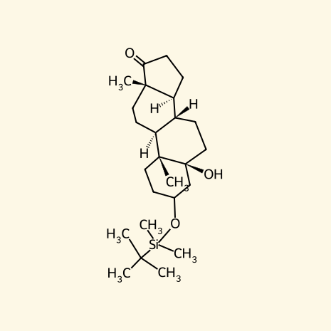 CC(C)(C)[Si](C)(C)OC1CC[C@]2(C)[C@H]3CC[C@]4(C)C(=O)CC[C@H]4[C@@H]3CC[C@]2(O)C1